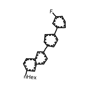 CCCCCCc1ccc2cc(-c3ccc(-c4cccc(F)c4)cc3)ccc2c1